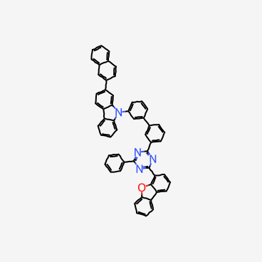 c1ccc(-c2nc(-c3cccc(-c4cccc(-n5c6ccccc6c6ccc(-c7ccc8ccccc8c7)cc65)c4)c3)nc(-c3cccc4c3oc3ccccc34)n2)cc1